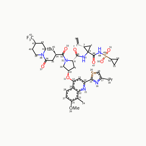 C=C[C@@H]1CC1(NC(=O)[C@@H]1C[C@@H](Oc2cc(-c3nc(C(C)C)cs3)nc3c(C)c(OC)ccc23)CN1C(=O)[C@@H](CC(=O)N1CCC(C(F)(F)F)CC1)C(C)(C)C)C(=O)NS(=O)(=O)C1CC1